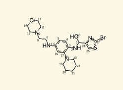 OC(Nc1ccc(NCCN2CCOCC2)cc1N1CCCCC1)c1csc(Br)n1